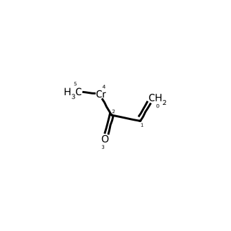 C=C[C](=O)[Cr][CH3]